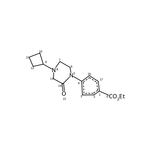 CCOC(=O)c1ccc(N2CCN(C3CCC3)CC2=O)cc1